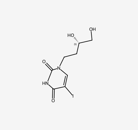 O=c1[nH]c(=O)n(CC[C@H](O)CO)cc1I